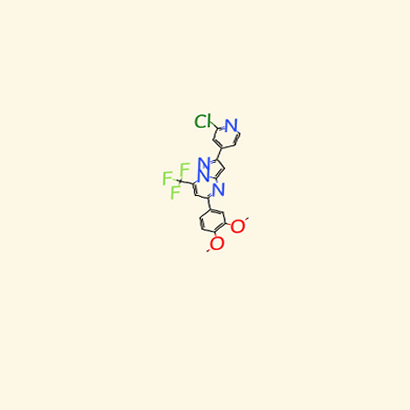 COc1ccc(-c2cc(C(F)(F)F)n3nc(-c4ccnc(Cl)c4)cc3n2)cc1OC